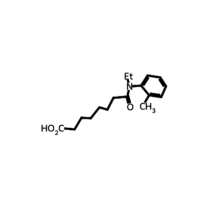 CCN(C(=O)CCCCCCC(=O)O)c1ccccc1C